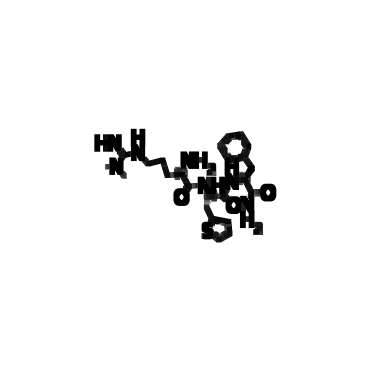 CN(C)C(=N)NCCC[C@H](N)C(=O)N[C@@H](Cc1cccs1)C(=O)N[C@@H](Cc1ccccc1)C(N)=O